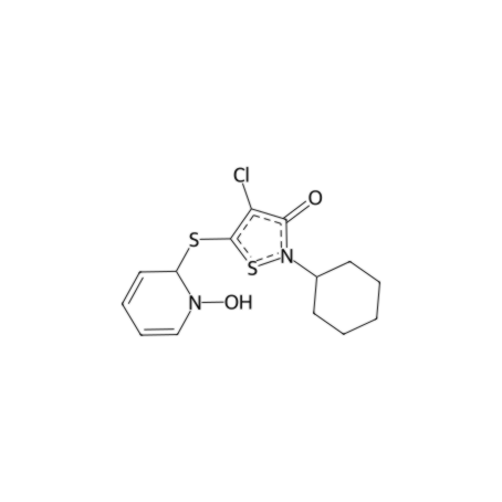 O=c1c(Cl)c(SC2C=CC=CN2O)sn1C1CCCCC1